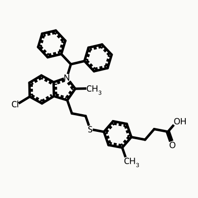 Cc1cc(SCCc2c(C)n(C(c3ccccc3)c3ccccc3)c3ccc(Cl)cc23)ccc1CCC(=O)O